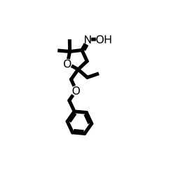 CCC1(COCc2ccccc2)CC(=NO)C(C)(C)O1